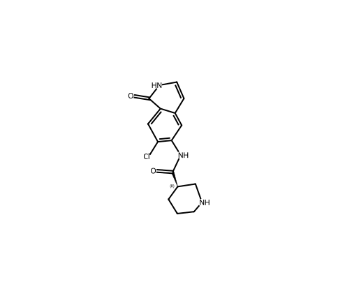 O=C(Nc1cc2cc[nH]c(=O)c2cc1Cl)[C@@H]1CCCNC1